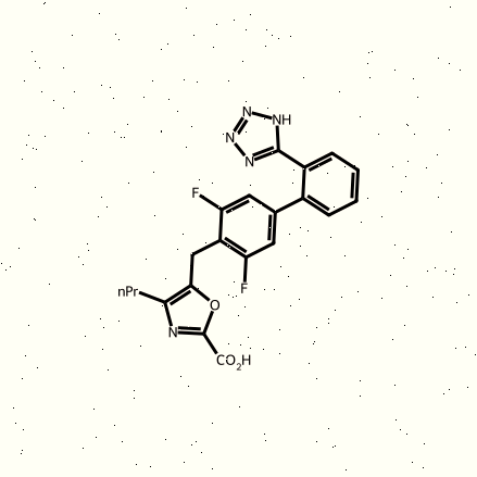 CCCc1nc(C(=O)O)oc1Cc1c(F)cc(-c2ccccc2-c2nnn[nH]2)cc1F